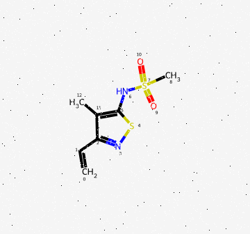 C=Cc1nsc(NS(C)(=O)=O)c1C